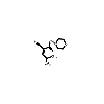 C1COCCN1.CC(C)C=C(C#N)C(=O)O